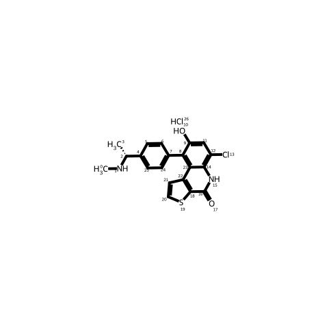 CN[C@H](C)c1ccc(-c2c(O)cc(Cl)c3[nH]c(=O)c4sccc4c23)cc1.Cl